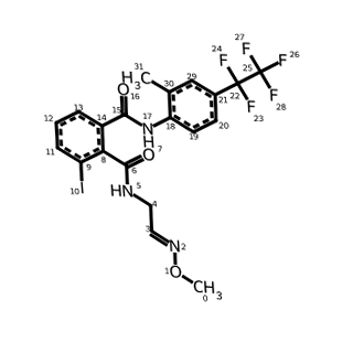 CO/N=C/CNC(=O)c1c(I)cccc1C(=O)Nc1ccc(C(F)(F)C(F)(F)F)cc1C